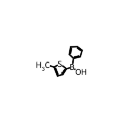 Cc1ccc(B(O)c2ccccc2)s1